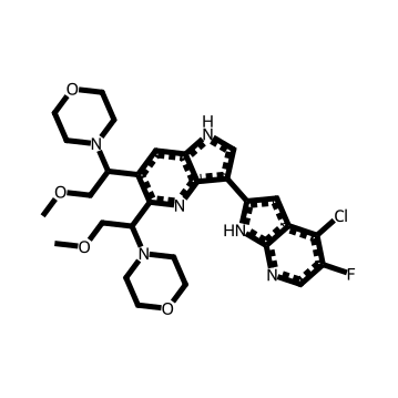 COCC(c1cc2[nH]cc(-c3cc4c(Cl)c(F)cnc4[nH]3)c2nc1C(COC)N1CCOCC1)N1CCOCC1